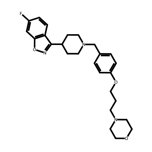 Fc1ccc2c(C3CCN(Cc4ccc(OCCCN5CCOCC5)cc4)CC3)noc2c1